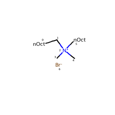 CCCCCCCCC[N+](C)(C)CCCCCCCC.[Br-]